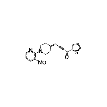 O=Nc1cccnc1N1CCC(=CC#CC(=O)c2cccs2)CC1